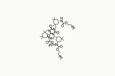 CC(C)OC(=O)NC1CC(C)(C)CC(C)(Cn2c(=O)n(C[C@]3(C)C[C@H](NC(=O)OCCN4CC4)CC(C)(C)C3)c(=O)n(C[C@@]3(C)C[C@@H](NC(=O)OCCN4CC4)CC(C)(C)C3)c2=O)C1